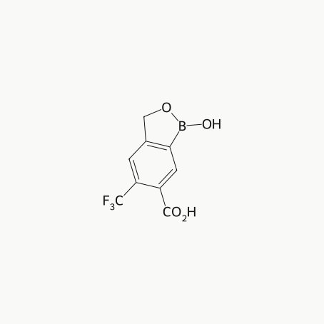 O=C(O)c1cc2c(cc1C(F)(F)F)COB2O